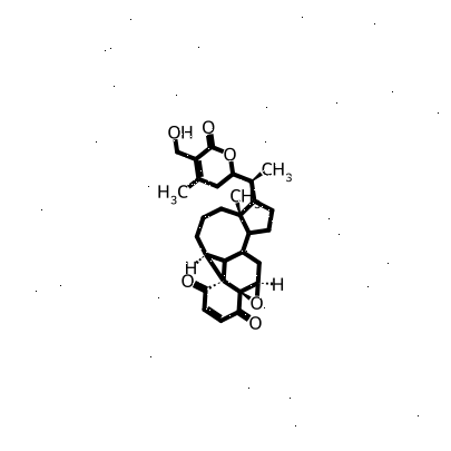 CC1=C(CO)C(=O)OC([C@@H](C)C2CCC3C4C[C@H]5O[C@]56C(=O)C=CC(=O)[C@]65C4[C@@H]5CCC[C@@]32C)C1